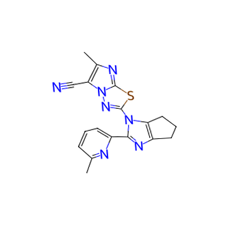 Cc1cccc(-c2nc3c(n2-c2nn4c(C#N)c(C)nc4s2)CCC3)n1